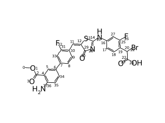 COC(=O)c1cc(-c2ccc(C=C3SC(Nc4ccc(C(Br)C(=O)O)c(F)c4)=NC3=O)c(F)c2)ccc1N